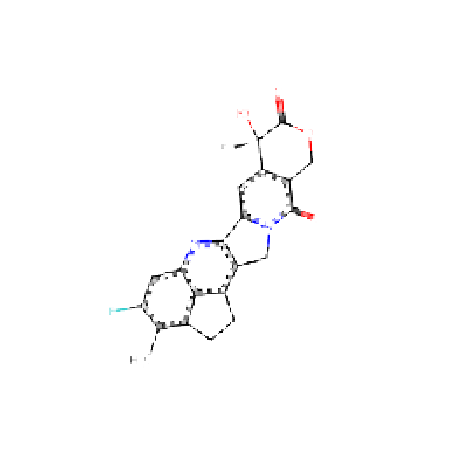 CC[C@@]1(O)C(=O)OCc2c1cc1n(c2=O)Cc2c-1nc1cc(F)c(C)c3c1c2CC3